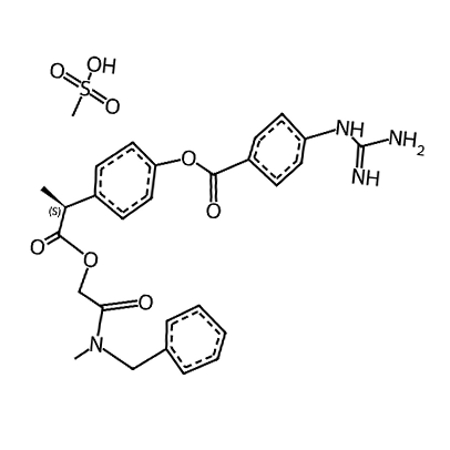 CS(=O)(=O)O.C[C@H](C(=O)OCC(=O)N(C)Cc1ccccc1)c1ccc(OC(=O)c2ccc(NC(=N)N)cc2)cc1